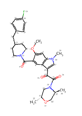 COc1cc2c(cc1C(=O)N1CCC(Cc3ccc(F)cc3)CC1)c(C(=O)C(=O)N1C[C@@H](C)OC[C@@H]1C)cn2C